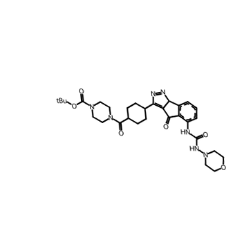 CC(C)(C)OC(=O)N1CCN(C(=O)C2CCC(C3=C4C(=O)c5c(NC(=O)NN6CCOCC6)cccc5C4N=N3)CC2)CC1